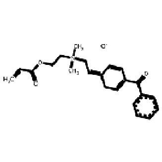 C=CC(=O)OCC[N+](C)(C)CC=C1C=CC(C(=O)c2ccccc2)=CC1.[Cl-]